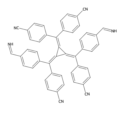 N#Cc1ccc(C(=C2C(=C(/c3ccc(C#N)cc3)c3ccc(C=N)cc3)/C2=C(\c2ccc(C#N)cc2)c2ccc(C=N)cc2)c2ccc(C#N)cc2)cc1